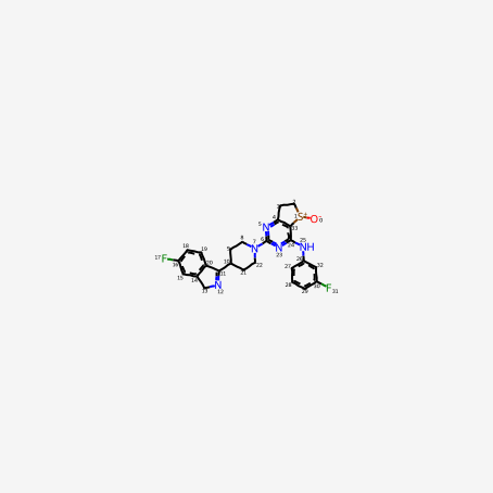 [O-][S+]1CCc2nc(N3CCC(C4=NCc5cc(F)ccc54)CC3)nc(Nc3cccc(F)c3)c21